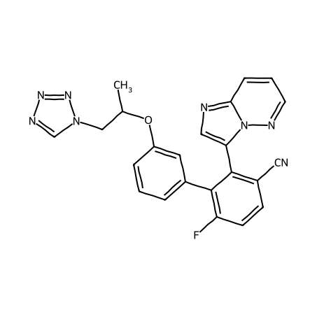 CC(Cn1cnnn1)Oc1cccc(-c2c(F)ccc(C#N)c2-c2cnc3cccnn23)c1